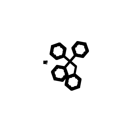 [Hf].c1ccc(CC(c2ccccc2)(c2ccccc2)c2ccccc2)cc1